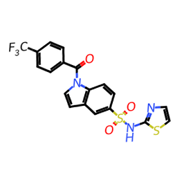 O=C(c1ccc(C(F)(F)F)cc1)n1ccc2cc(S(=O)(=O)Nc3nccs3)ccc21